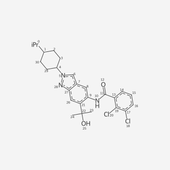 CC(C)C1CCC(n2cc3cc(NC(=O)c4cccc(Cl)c4Cl)c(C(C)(C)O)cc3n2)CC1